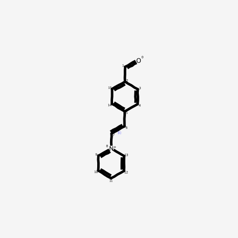 O=Cc1ccc(/C=C/[n+]2ccccc2)cc1